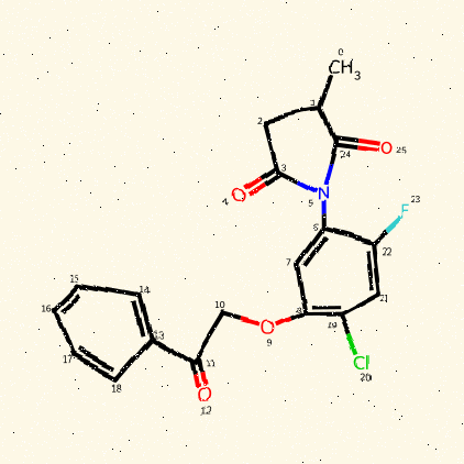 CC1CC(=O)N(c2cc(OCC(=O)c3ccccc3)c(Cl)cc2F)C1=O